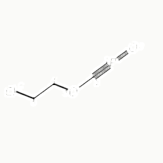 O=P#COCCCl